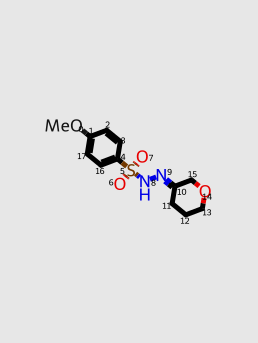 COc1ccc(S(=O)(=O)N/N=C2\CCCOC2)cc1